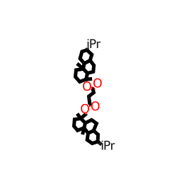 CC(C)C1CCC2C(CCC3C(C)(COC(=O)CCC(=O)OC4(C)CCCC5(C)C6CCC(C(C)C)CC6CCC45)CCCC23C)C1